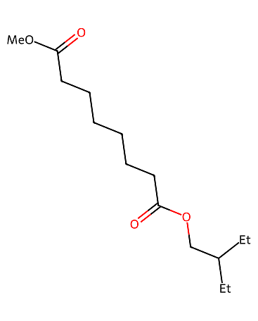 CCC(CC)COC(=O)CCCCCCC(=O)OC